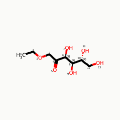 CCOCC(=O)[C@@H](O)[C@H](O)[C@H](O)CO